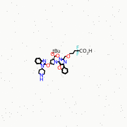 CC(C)(C)OC(=O)[C@@H]1C[C@H](Oc2nc3ccccc3n2C2CCNCC2)CN1c1nc(COCCCC(F)(F)C(=O)O)nc2c1oc1ccccc12